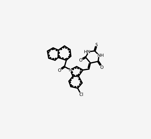 O=C1NC(=S)NC(=O)C1=Cc1cn(C(=O)c2cccc3ccccc23)c2ccc(Cl)cc12